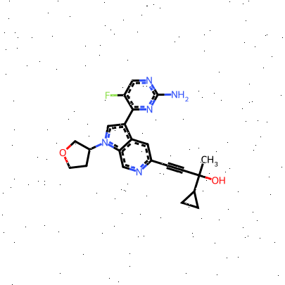 CC(O)(C#Cc1cc2c(-c3nc(N)ncc3F)cn(C3CCOC3)c2cn1)C1CC1